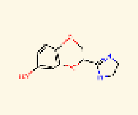 Oc1ccc2c(c1)OC(C1=NCCN1)CO2